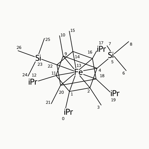 CC(C)[C]12[C]3(C)[C]4([Si](C)(C)C)[C]5(C)[C]1(C(C)C)[Fe]35241678[C]2(C)[C]1(C(C)C)[C]6(C(C)C)[C]7(C)[C]28[Si](C)(C)C